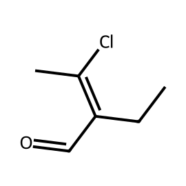 CCC(C=O)=C(C)Cl